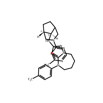 Cc1cc(N2CC3CC[C@@H](C2)[C@@H]3Nc2nc3n(n2)CCCCN3c2ccc(C(F)(F)F)cc2)ncn1